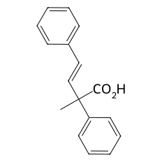 CC(C=Cc1ccccc1)(C(=O)O)c1ccccc1